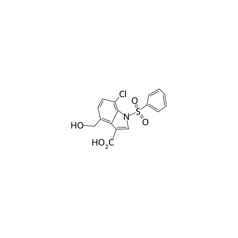 O=C(O)c1cn(S(=O)(=O)c2ccccc2)c2c(Cl)ccc(CO)c12